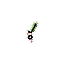 C=C(Oc1ccc(OC)cc1)C(=O)C(F)(F)C(F)(F)C(F)(F)C(F)(F)C(F)(F)F